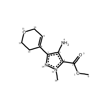 COC(=O)c1c(N)c(C2=CCOCC2)nn1C